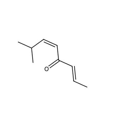 C/C=C/C(=O)/C=C\C(C)C